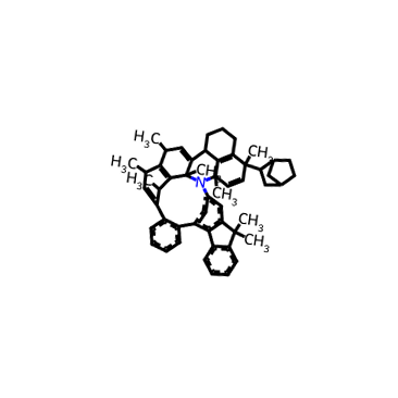 CC1C=C2c3ccccc3-c3cc(cc4c3-c3ccccc3C4(C)C)N3C4(C)C=CC(C)(C5CC6CCC5C6)C5=C4C(CCC5)C4=CC(C)C1=C(C2C)C43C